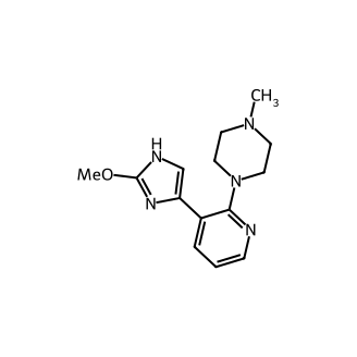 COc1nc(-c2cccnc2N2CCN(C)CC2)c[nH]1